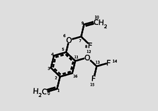 C=Cc1ccc(OC(F)C=C)c(OC(F)F)c1